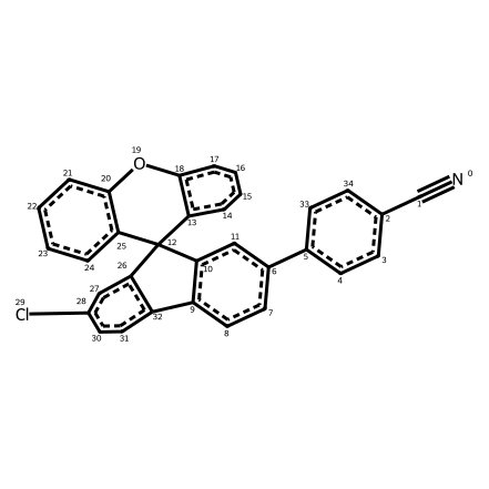 N#Cc1ccc(-c2ccc3c(c2)C2(c4ccccc4Oc4ccccc42)c2cc(Cl)ccc2-3)cc1